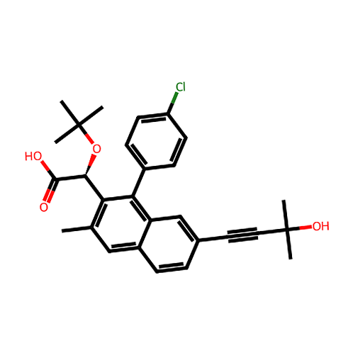 Cc1cc2ccc(C#CC(C)(C)O)cc2c(-c2ccc(Cl)cc2)c1[C@H](OC(C)(C)C)C(=O)O